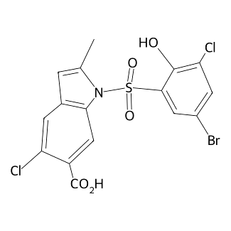 Cc1cc2cc(Cl)c(C(=O)O)cc2n1S(=O)(=O)c1cc(Br)cc(Cl)c1O